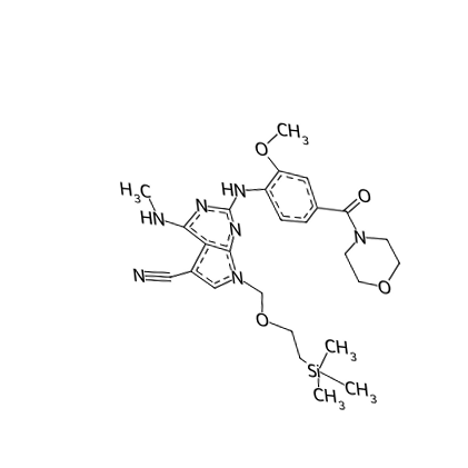 CNc1nc(Nc2ccc(C(=O)N3CCOCC3)cc2OC)nc2c1c(C#N)cn2COCC[Si](C)(C)C